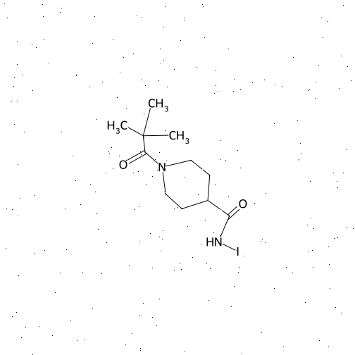 CC(C)(C)C(=O)N1CCC(C(=O)NI)CC1